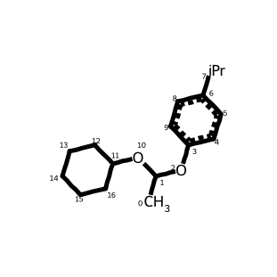 CC(Oc1ccc(C(C)C)cc1)OC1CCCCC1